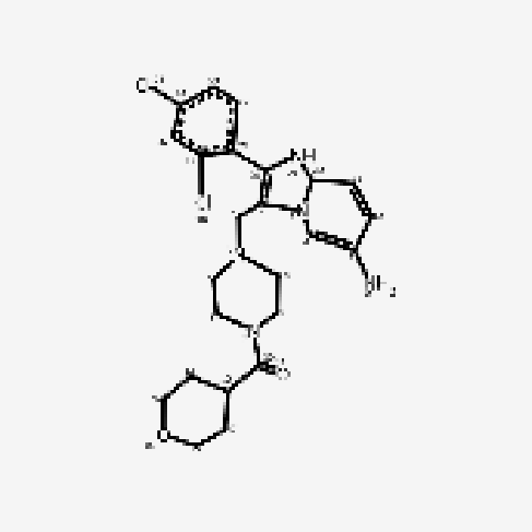 NC1=CN2C(CN3CCN(C(=O)C4CCOCC4)CC3)=C(c3ccc(Cl)cc3Cl)NC2C=C1